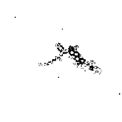 COCCOCCOC(=O)NC[C@@H](CN[C@]12CC[C@@H](C(C)C)[C@@H]1[C@H]1CC[C@@H]3[C@@]4(C)CC[C@H](OC(=O)[C@H]5C[C@@H](C(=O)O)C5(C)C)C(C)(C)[C@@H]4CC[C@@]3(C)[C@]1(C)CC2)N1CCS(=O)(=O)CC1